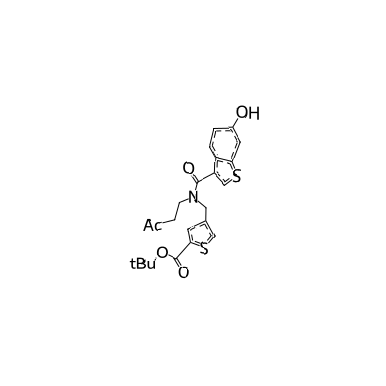 CC(=O)CCN(Cc1csc(C(=O)OC(C)(C)C)c1)C(=O)c1csc2cc(O)ccc12